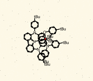 CC(C)(C)c1ccc(N2c3ccc(C(C)(C)C)cc3B3c4cc(C(C)(C)C)ccc4Oc4cc(-n5c6c(N(c7ccc(C(C)(C)C)cc7)c7ccc(C(C)(C)C)cc7)cccc6c6cccc(N(c7ccc(C(C)(C)C)cc7)c7ccc(C(C)(C)C)cc7)c65)cc2c43)cc1